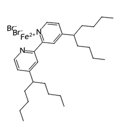 CCCCC(CCCC)c1ccnc(-c2cc(C(CCCC)CCCC)ccn2)c1.[Br-].[Br-].[Fe+2]